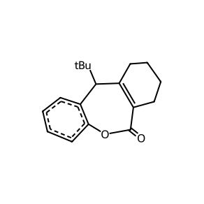 CC(C)(C)C1C2=C(CCCC2)C(=O)Oc2ccccc21